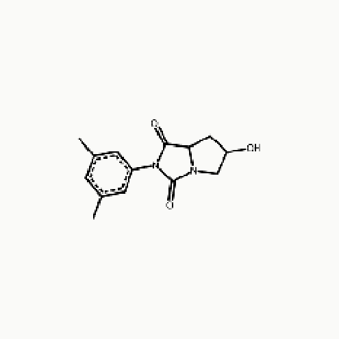 Cc1cc(C)cc(N2C(=O)C3CC(O)CN3C2=O)c1